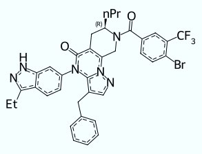 CCC[C@@H]1Cc2c(n3ncc(Cc4ccccc4)c3n(-c3ccc4c(CC)n[nH]c4c3)c2=O)CN1C(=O)c1ccc(Br)c(C(F)(F)F)c1